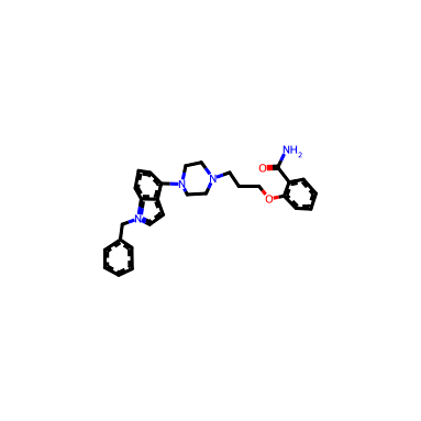 NC(=O)c1ccccc1OCCCN1CCN(c2cccc3c2ccn3Cc2ccccc2)CC1